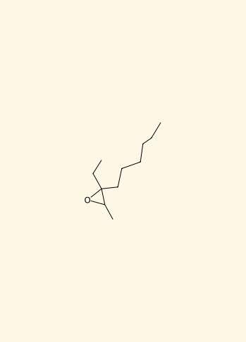 CCCCCCC1(CC)OC1C